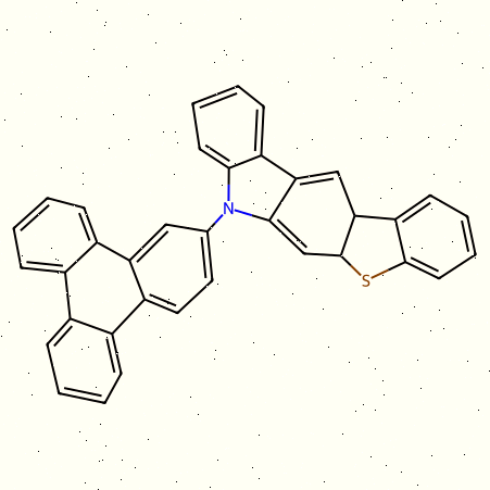 C1=c2c(n(-c3ccc4c5ccccc5c5ccccc5c4c3)c3ccccc23)=CC2Sc3ccccc3C12